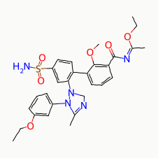 CCOC(C)=NC(=O)c1cccc(-c2ccc(S(N)(=O)=O)cc2N2CN=C(C)N2c2cccc(OCC)c2)c1OC